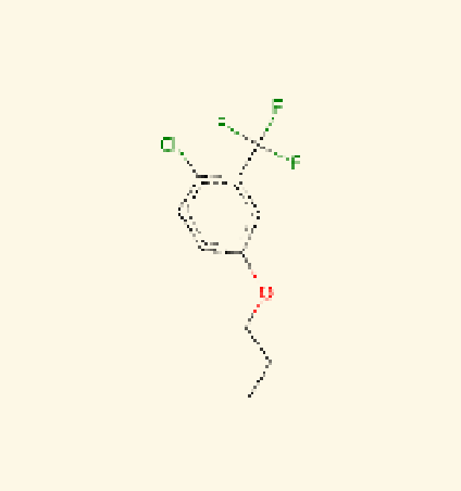 CCCOc1ccc(Cl)c(C(F)(F)F)c1